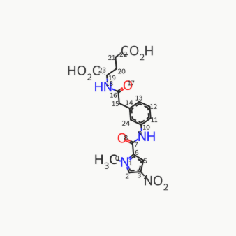 Cn1cc([N+](=O)[O-])cc1C(=O)Nc1cccc(CC(=O)N[C@@H](CCC(=O)O)C(=O)O)c1